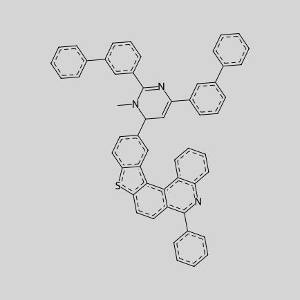 CN1C(c2cccc(-c3ccccc3)c2)=NC(c2cccc(-c3ccccc3)c2)=CC1c1ccc2sc3ccc4c(-c5ccccc5)nc5ccccc5c4c3c2c1